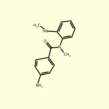 CNc1ccccc1N(C)C(=O)c1ccc(N)cc1